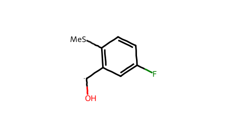 CSc1ccc(F)cc1[CH]O